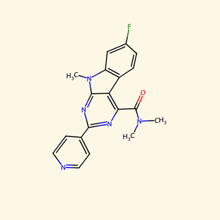 CN(C)C(=O)c1nc(-c2ccncc2)nc2c1c1ccc(F)cc1n2C